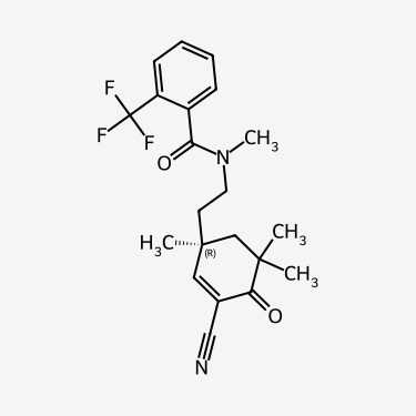 CN(CC[C@]1(C)C=C(C#N)C(=O)C(C)(C)C1)C(=O)c1ccccc1C(F)(F)F